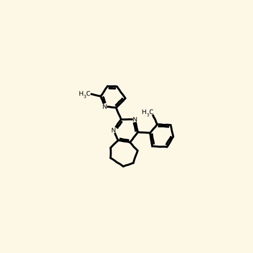 Cc1cccc(-c2nc3c(c(-c4ccccc4C)n2)CCCCC3)n1